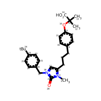 Cn1c(CCCc2ccc(OC(C)(C)C(=O)O)cc2)cn(Cc2ccc(C(C)(C)C)cc2)c1=O